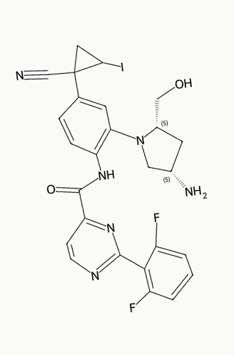 N#CC1(c2ccc(NC(=O)c3ccnc(-c4c(F)cccc4F)n3)c(N3C[C@@H](N)C[C@H]3CO)c2)CC1I